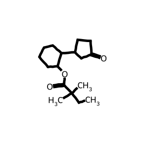 CCC(C)(C)C(=O)OC1CCCCC1C1CCC(=O)C1